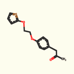 CC(=O)Cc1ccc(OCCOc2cccs2)cc1